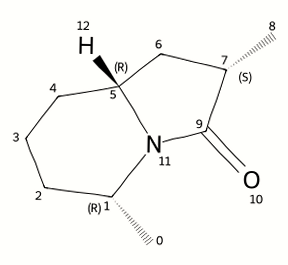 C[C@@H]1CCC[C@@H]2C[C@H](C)C(=O)N21